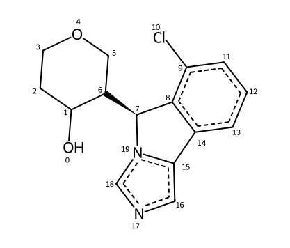 OC1CCOCC1[C@H]1c2c(Cl)cccc2-c2cncn21